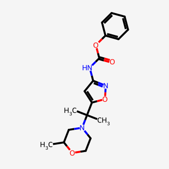 CC1CN(C(C)(C)c2cc(NC(=O)Oc3ccccc3)no2)CCO1